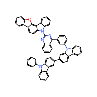 c1ccc(-n2c3ccccc3c3cc(-c4ccc5c6ccccc6n(-c6cccc(-c7nc(-n8c9ccccc9c9c%10oc%11ccccc%11c%10ccc98)nc8ccccc78)c6)c5c4)ccc32)cc1